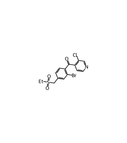 CCS(=O)(=O)Cc1ccc(C(=O)c2ccncc2Cl)c(Br)c1